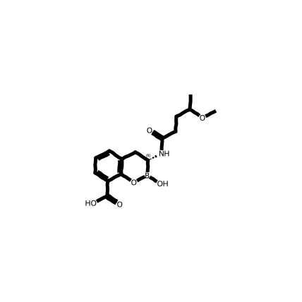 COC(C)CCC(=O)N[C@H]1Cc2cccc(C(=O)O)c2OB1O